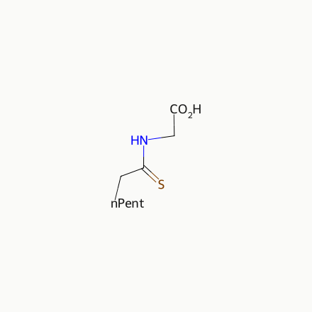 CCCCCCC(=S)NCC(=O)O